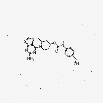 C[C@H]1CN(OC(=O)Nc2ccc(CC#N)cc2)CCN1c1nc(N)nc2scnc12